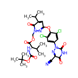 CC(C)c1cc(Oc2c(Cl)cc(-n3nc(C#N)c(=O)[nH]c3=O)cc2Cl)nn(COC(=O)[C@@H](NC(=O)OC(C)(C)C)C(C)C)c1=O